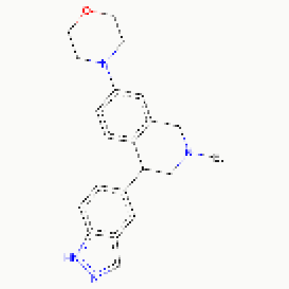 CCN1Cc2cc(N3CCOCC3)ccc2C(c2ccc3[nH]ncc3c2)C1